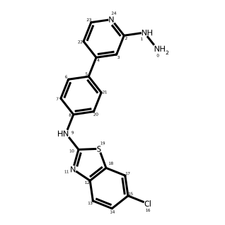 NNc1cc(-c2ccc(Nc3nc4ccc(Cl)cc4s3)cc2)ccn1